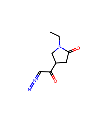 CCN1CC(C(=O)C=[N+]=[N-])CC1=O